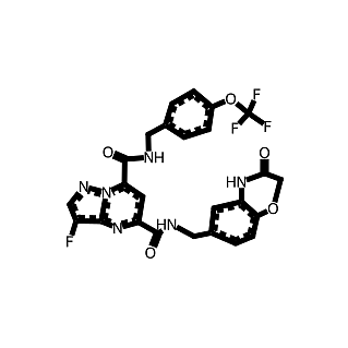 O=C1COc2ccc(CNC(=O)c3cc(C(=O)NCc4ccc(OC(F)(F)F)cc4)n4ncc(F)c4n3)cc2N1